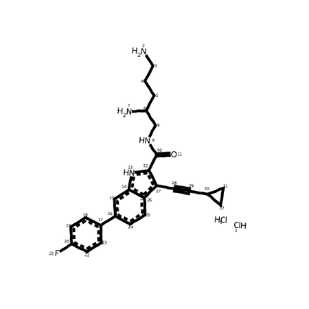 Cl.Cl.NCCCC(N)CNC(=O)c1[nH]c2cc(-c3ccc(F)cc3)ccc2c1C#CC1CC1